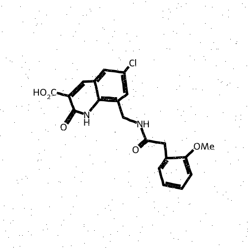 COc1ccccc1CC(=O)NCc1cc(Cl)cc2cc(C(=O)O)c(=O)[nH]c12